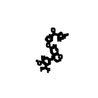 COc1ncc(N2CCOc3cnc(OC4CCN(C(=O)c5cn(C)cn5)C4)cc32)cc1C(F)F